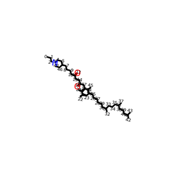 CCCN1CCC(CCCCC(=O)CCC(=O)Cc2c(C)c(C)cc(CCCCCCC(C)CCCC(C)CCCC(C)C)c2C)CC1